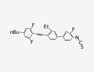 CCCCc1cc(F)c(C#Cc2ccc(-c3ccc(N=C=S)c(F)c3)cc2CC)c(F)c1